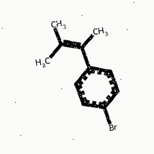 CC(C)=C(C)c1ccc(Br)cc1